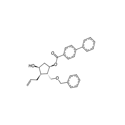 C=CC[C@@H]1[C@@H](COCc2ccccc2)[C@H](OC(=O)c2ccc(-c3ccccc3)cc2)C[C@@H]1O